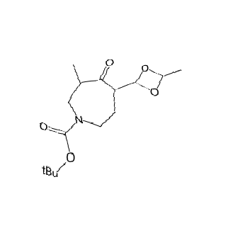 CC1OC(C2CCN(C(=O)OC(C)(C)C)CC(C)C2=O)O1